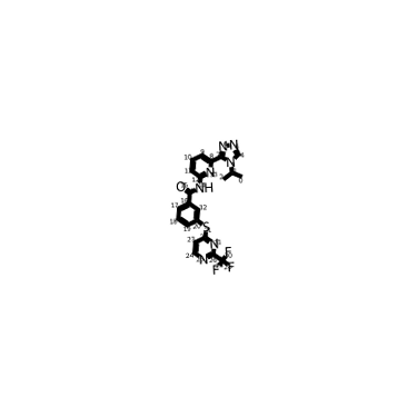 CC(C)n1cnnc1-c1cccc(NC(=O)c2cccc(Sc3ccnc(C(F)(F)F)n3)c2)n1